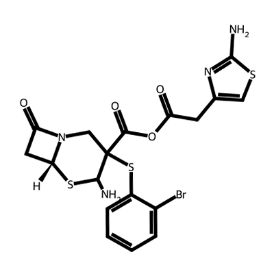 Nc1nc(CC(=O)OC(=O)C2(Sc3ccccc3Br)CN3C(=O)C[C@H]3SC2N)cs1